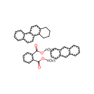 CCCCCCCCOC(=O)c1ccccc1C(=O)OCCCCCCCC.c1ccc2c(c1)ccc1c3c(ccc12)CCCC3.c1ccc2cc3ccccc3cc2c1